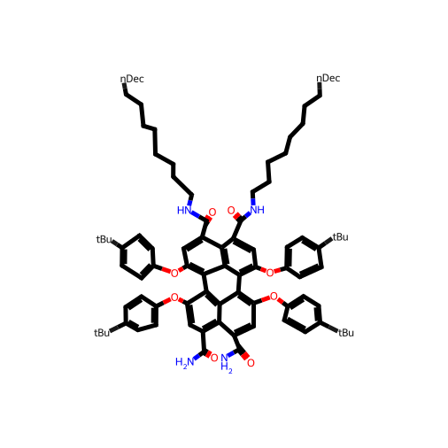 CCCCCCCCCCCCCCCCCCNC(=O)c1cc(Oc2ccc(C(C)(C)C)cc2)c2c3c(Oc4ccc(C(C)(C)C)cc4)cc(C(N)=O)c4c(C(N)=O)cc(Oc5ccc(C(C)(C)C)cc5)c(c5c(Oc6ccc(C(C)(C)C)cc6)cc(C(=O)NCCCCCCCCCCCCCCCCCC)c1c25)c43